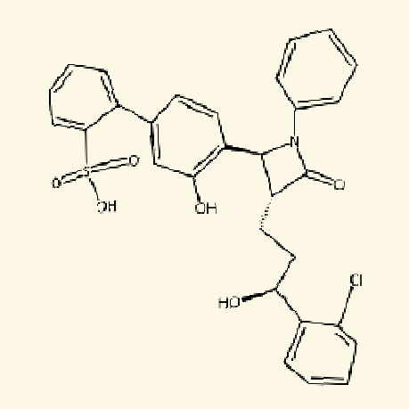 O=C1[C@H](CC[C@H](O)c2ccccc2Cl)[C@@H](c2ccc(-c3ccccc3S(=O)(=O)O)cc2O)N1c1ccccc1